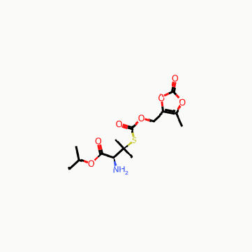 Cc1oc(=O)oc1COC(=O)SC(C)(C)[C@@H](N)C(=O)OC(C)C